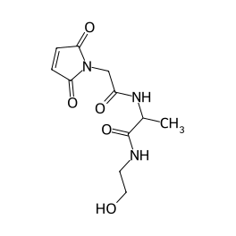 CC(NC(=O)CN1C(=O)C=CC1=O)C(=O)NCCO